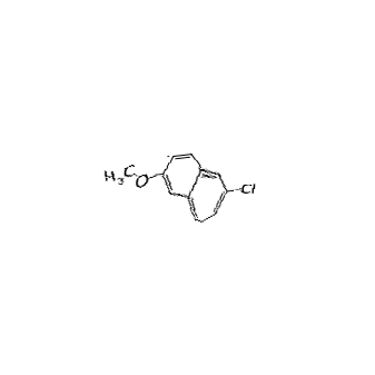 COc1[c]cc2cc(Cl)ccc2c1